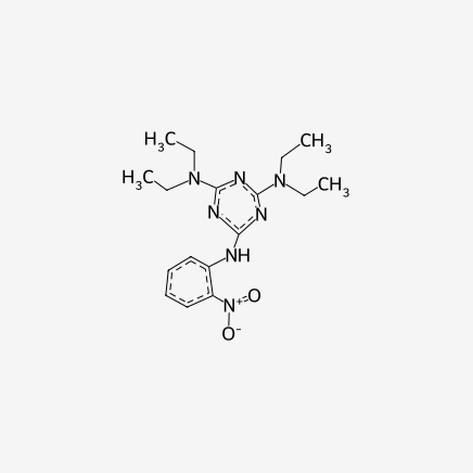 CCN(CC)c1nc(Nc2ccccc2[N+](=O)[O-])nc(N(CC)CC)n1